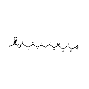 CC(=O)OCCCCCCCCCCCCBr